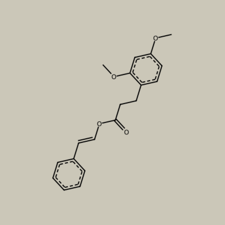 COc1ccc(CCC(=O)OC=Cc2ccccc2)c(OC)c1